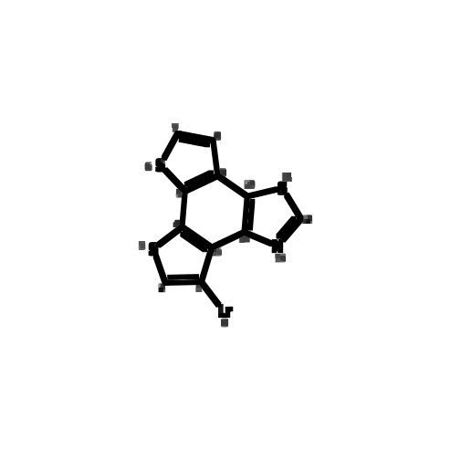 [Lr][c]1csc2c3sccc3c3scnc3c12